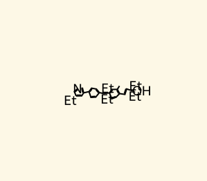 CCc1cncc(-c2ccc(C(CC)(CC)c3ccc(/C=C/C(O)(CC)CC)c(C)c3)cc2)c1